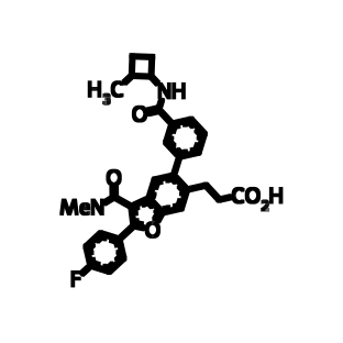 CNC(=O)c1c(-c2ccc(F)cc2)oc2cc(CCC(=O)O)c(-c3cccc(C(=O)NC4CCC4C)c3)cc12